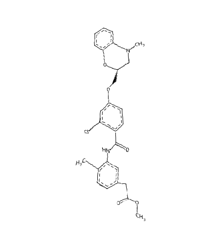 COC(=O)Cc1ccc(C)c(NC(=O)c2ccc(OC[C@@H]3CN(C)c4ccccc4O3)cc2Cl)c1